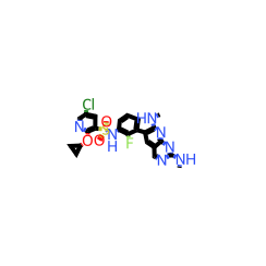 CNc1ncc2cc(-c3cccc(NS(=O)(=O)c4cc(Cl)cnc4OC4CC4)c3F)c(NC)nc2n1